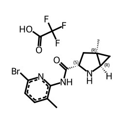 Cc1ccc(Br)nc1NC(=O)[C@@H]1C[C@@]2(C)C[C@H]2N1.O=C(O)C(F)(F)F